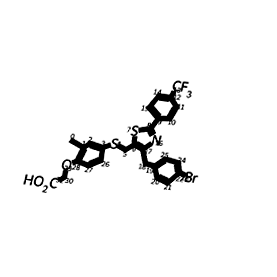 Cc1cc(SCc2sc(-c3ccc(C(F)(F)F)cc3)nc2Cc2ccc(Br)cc2)ccc1OCC(=O)O